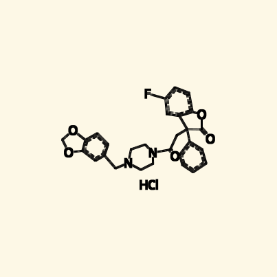 Cl.O=C(CC1(c2ccccc2)C(=O)Oc2ccc(F)cc21)N1CCN(Cc2ccc3c(c2)OCO3)CC1